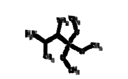 CO[Si](OC)(OC)C(N)C(C)N